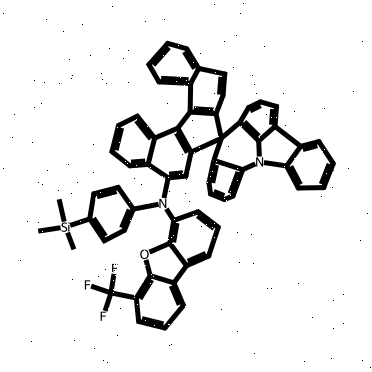 C[Si](C)(C)c1ccc(N(c2cc3c(c4ccccc24)-c2c(ccc4ccccc24)C32c3ccccc3-n3c4ccccc4c4cccc2c43)c2cccc3c2oc2c(C(F)(F)F)cccc23)cc1